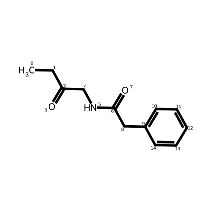 CCC(=O)CNC(=O)Cc1ccccc1